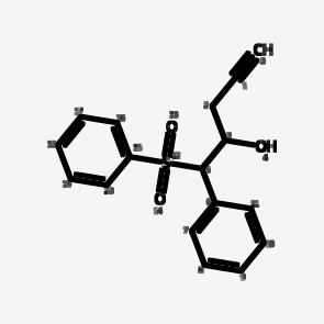 C#CCC(O)C(c1ccccc1)S(=O)(=O)c1ccccc1